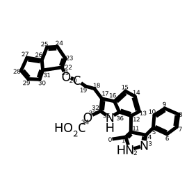 Cc1[nH]nc(-c2ccccc2)c1-c1cccc2c(CCCOc3cccc4ccccc34)c(OC(=O)O)[nH]c12